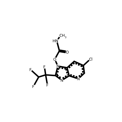 CNC(=O)On1c(C(F)(F)C(F)F)nc2ncc(Cl)cc21